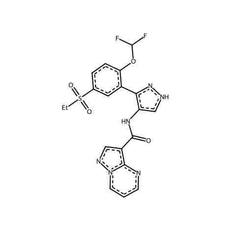 CCS(=O)(=O)c1ccc(OC(F)F)c(-c2n[nH]cc2NC(=O)c2cnn3cccnc23)c1